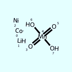 [Co].[LiH].[Ni].[O]=[Mn](=[O])([OH])[OH]